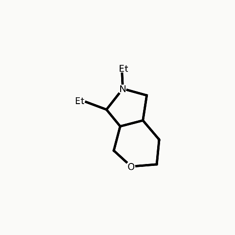 CCC1C2COCCC2CN1CC